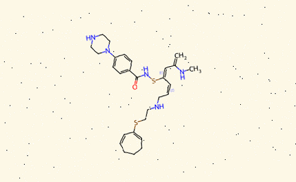 C=C(/C=C(\C=C/CNCCSC1=CCCCC=C1)SNC(=O)c1ccc(N2CCNCC2)cc1)NC